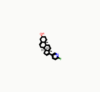 C[C@]12CC[C@H](O)CC1=CC[C@@H]1C2CC[C@]2(C)C(c3ccc(F)nc3)=CC[C@@H]12